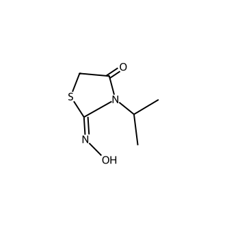 CC(C)N1C(=O)CS/C1=N/O